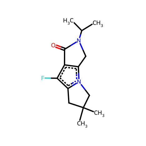 CC(C)N1Cc2c(c(F)c3n2CC(C)(C)C3)C1=O